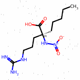 CCCCC[C@@](CCCNC(=N)N)(N[N+](=O)[O-])C(=O)O